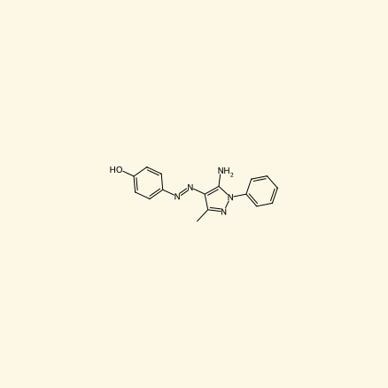 Cc1nn(-c2ccccc2)c(N)c1/N=N/c1ccc(O)cc1